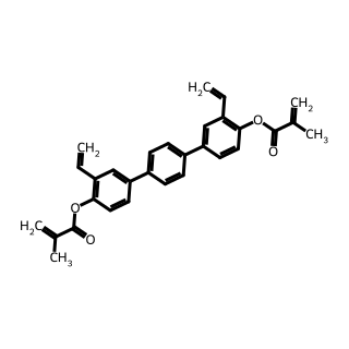 C=Cc1cc(-c2ccc(-c3ccc(OC(=O)C(=C)C)c(C=C)c3)cc2)ccc1OC(=O)C(=C)C